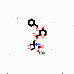 CC(C)(C)OC(=O)NC1(COC(=O)c2occc(=O)c2OCc2ccccc2)CCOC1